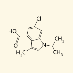 Cc1cn(C(C)C)c2cc(Cl)cc(C(=O)O)c12